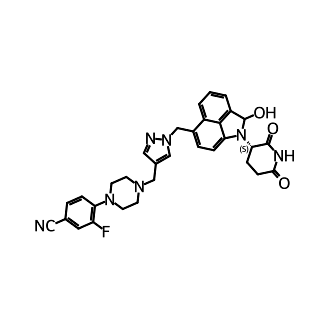 N#Cc1ccc(N2CCN(Cc3cnn(Cc4ccc5c6c(cccc46)C(O)N5[C@H]4CCC(=O)NC4=O)c3)CC2)c(F)c1